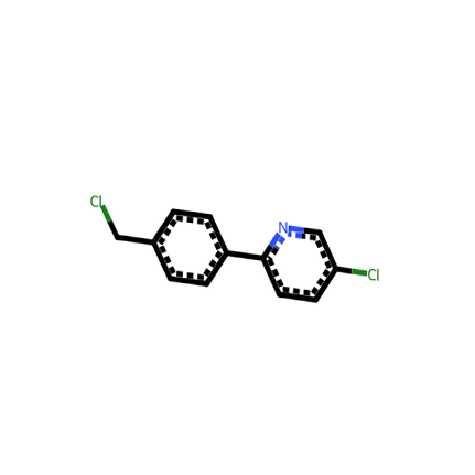 ClCc1ccc(-c2ccc(Cl)cn2)cc1